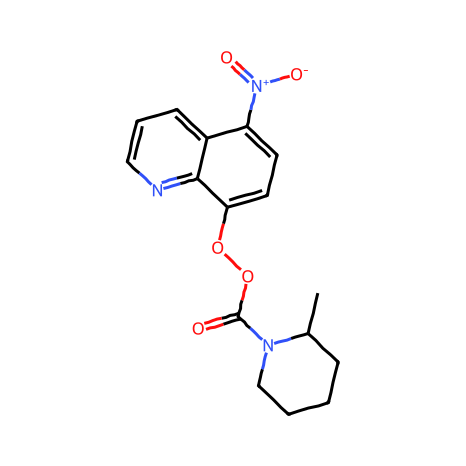 CC1CCCCN1C(=O)OOc1ccc([N+](=O)[O-])c2cccnc12